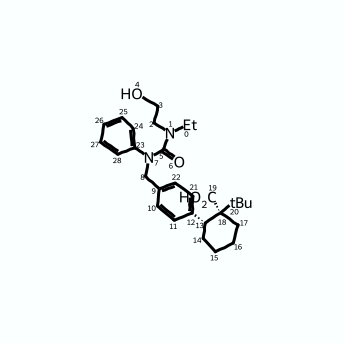 CCN(CCO)C(=O)N(Cc1ccc([C@H]2CCCC[C@]2(C(=O)O)C(C)(C)C)cc1)c1ccccc1